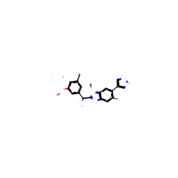 CCn1c(C(N)c2cc(CO)c(OC)c(OC)c2)nc2cc(F)c(-c3cn[nH]c3)cc21